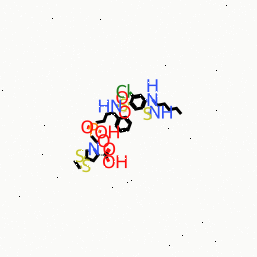 CCCCC1NSc2cc(S(=O)(=O)NC(CCCP(=O)(O)CC(=O)N3CC4(C[C@H]3C(=O)O)SCCS4)c3ccccc3)c(Cl)cc2N1